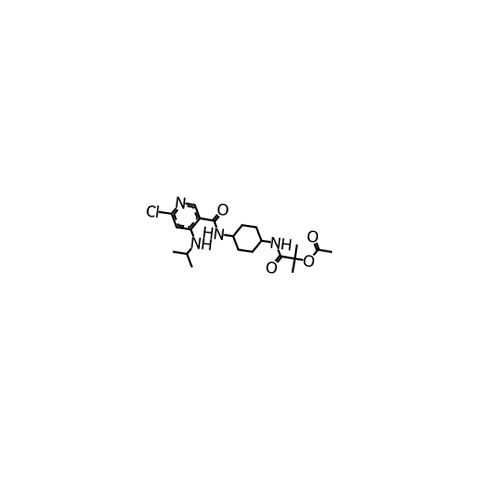 CC(=O)OC(C)(C)C(=O)NC1CCC(NC(=O)c2cnc(Cl)cc2NC(C)C)CC1